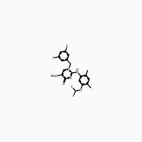 COc1cn(Cc2cc(F)cc(F)c2)c(Nc2cc(OC(F)F)c(C)cc2C)nc1=O